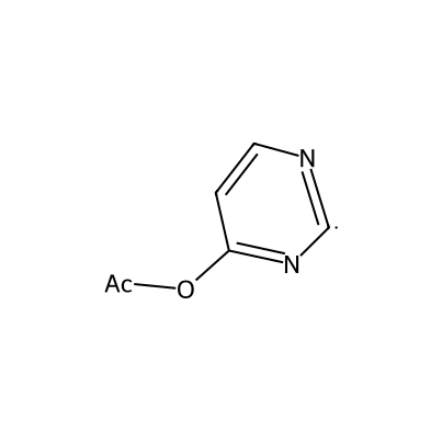 CC(=O)Oc1ccn[c]n1